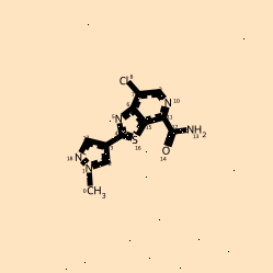 Cn1cc(-c2nc3c(Cl)cnc(C(N)=O)c3s2)cn1